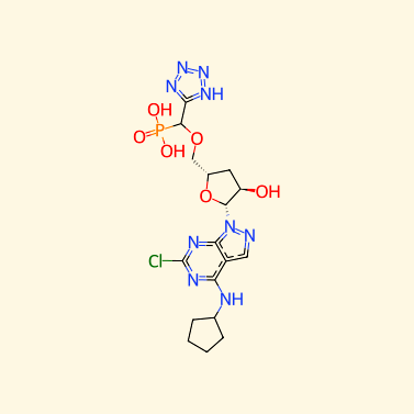 O=P(O)(O)C(OC[C@@H]1C[C@@H](O)[C@H](n2ncc3c(NC4CCCC4)nc(Cl)nc32)O1)c1nnn[nH]1